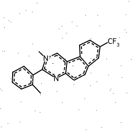 Cc1ccccc1-c1nc2ccc3cc(C(F)(F)F)ccc3c2c[n+]1C